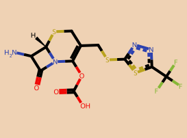 NC1C(=O)N2C(OC(=O)O)=C(CSc3nnc(C(F)(F)F)s3)CS[C@@H]12